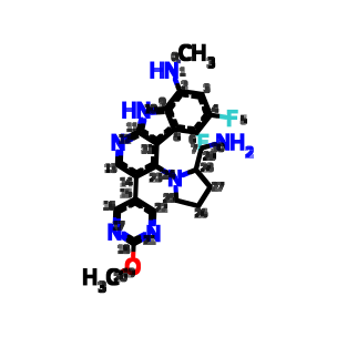 CNc1cc(F)c(F)c2c1[nH]c1ncc(-c3cnc(OC)nc3)c(N3CCCC3CN)c12